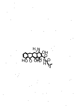 CN(C)CC(=O)NC(=O)C1=C(O)C(N)C2CC3Cc4cccc(O)c4C(=O)C3=C(O)C2(O)C1=O